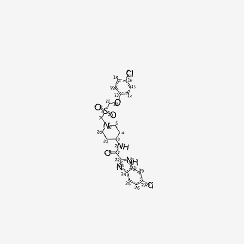 O=C(NC1CCN(CS(=O)(=O)COc2ccc(Cl)cc2)CC1)c1nc2ccc(Cl)cc2[nH]1